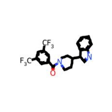 O=C(c1cc(C(F)(F)F)cc(C(F)(F)F)c1)N1CCC(C2C=Nc3ccccc32)CC1